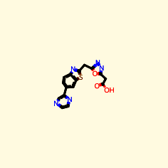 O=C(O)Cc1nnc(Cc2nc3ccc(-c4cnccn4)cc3s2)o1